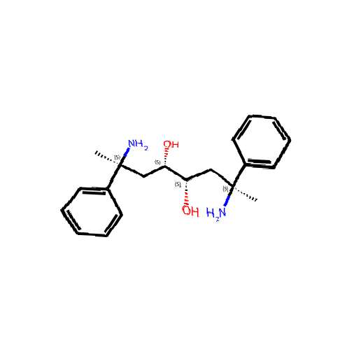 C[C@](N)(C[C@H](O)[C@@H](O)C[C@](C)(N)c1ccccc1)c1ccccc1